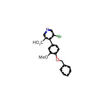 COc1cc(-c2c(Br)cncc2C(=O)O)ccc1OCc1ccccc1